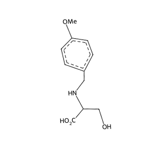 COc1ccc(CNC(CO)C(=O)O)cc1